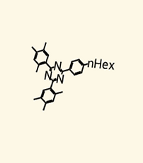 CCCCCCc1ccc(-c2nc(-c3cc(C)c(C)cc3C)nc(-c3cc(C)c(C)cc3C)n2)cc1